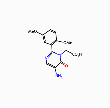 COc1ccc(OC)c(-c2ncc(N)c(=O)n2CC(=O)O)c1